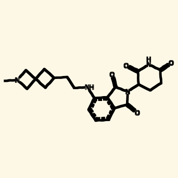 CN1CC2(CC(CCNc3cccc4c3C(=O)N(C3CCC(=O)NC3=O)C4=O)C2)C1